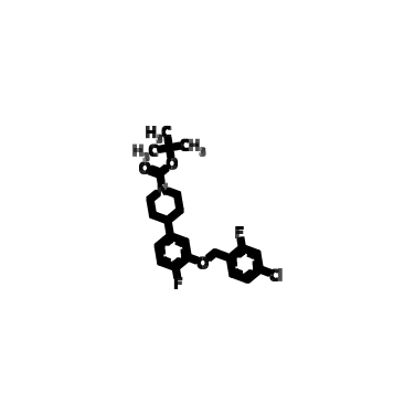 CC(C)(C)OC(=O)N1CCC(c2ccc(F)c(OCc3ccc(Cl)cc3F)c2)CC1